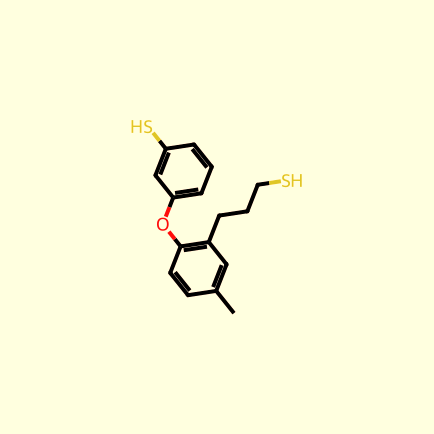 Cc1ccc(Oc2cccc(S)c2)c(CCCS)c1